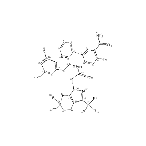 NC(=O)c1cc(-c2cccnc2C(Cc2cc(F)cc(F)c2)NC(=O)Cn2nc(C(F)(F)F)c3c2CC(F)(F)CC3)ccc1F